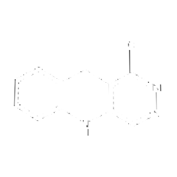 O=c1[nH]ncc2c1Cc1ccccc1N2